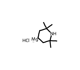 CC1(C)CCCC(C)(C)N1.Cl.[Mg]